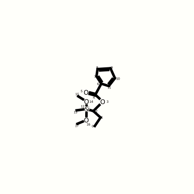 CCC(OC(=O)c1ccccc1)[Si](C)(OC)OC